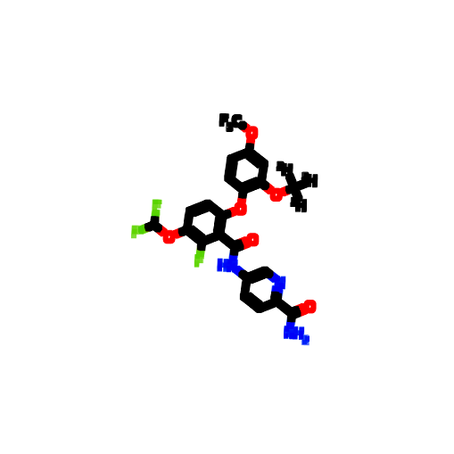 [2H]C([2H])([2H])Oc1cc(OC(F)(F)F)ccc1Oc1ccc(OC(F)F)c(F)c1C(=O)Nc1ccc(C(N)=O)nc1